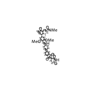 CNC(=O)N1CCc2c(-c3cc(OC)c(CNC4CCN(c5ccc6c(c5)C(=O)N(C5CCC(=O)NC5=O)C6=O)CC4)c(OC)c3)cn(C)c(=O)c2C1